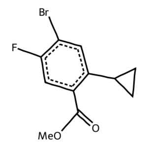 COC(=O)c1cc(F)c(Br)cc1C1CC1